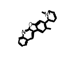 Cc1cc2c(cc1-c1cccc[n+]1C)oc1nc3ccccc3cc12